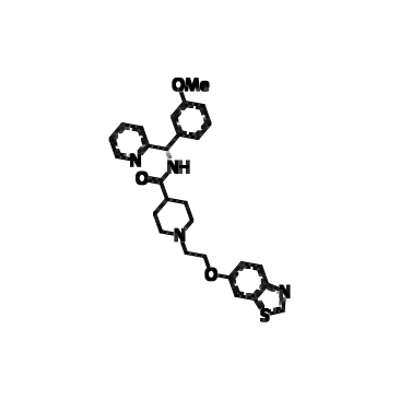 COc1cccc([C@H](NC(=O)C2CCN(CCOc3ccc4ncsc4c3)CC2)c2ccccn2)c1